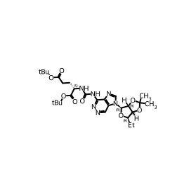 CC[C@H]1O[C@@H](n2cnc3c(NC(=O)N[C@@H](CCC(=O)OC(C)(C)C)C(=O)OC(C)(C)C)nncc32)[C@@H]2OC(C)(C)O[C@@H]21